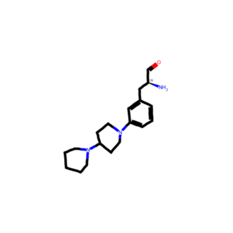 N[C@H](C=O)Cc1cccc(N2CCC(N3CCCCC3)CC2)c1